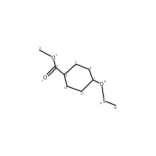 COC(=O)C1CCC(OSC)CC1